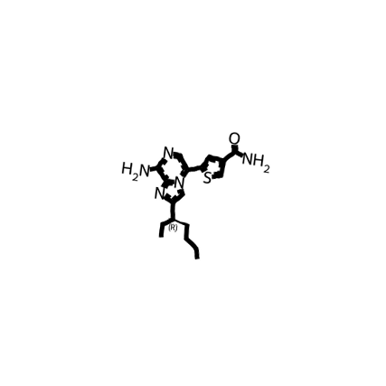 CCCC[C@@H](CC)c1cn2c(-c3cc(C(N)=O)cs3)cnc(N)c2n1